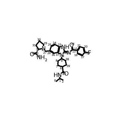 CC(C)NC(=O)C1CCC(n2/c(=N/C(=O)c3ccc(F)cc3)[nH]c3ccc(CN4CCC[C@@H]4C(N)=O)cc32)CC1